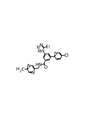 CCc1nnnn1-c1cc(C(=O)NCc2cnc(C)cn2)cc(-c2ccc(Cl)cn2)c1